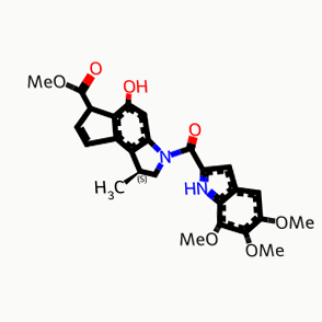 COC(=O)C1C=Cc2c1c(O)cc1c2[C@H](C)CN1C(=O)c1cc2cc(OC)c(OC)c(OC)c2[nH]1